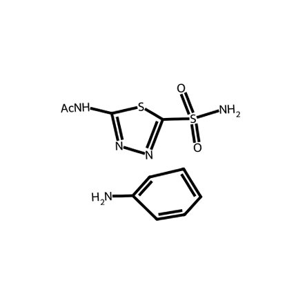 CC(=O)Nc1nnc(S(N)(=O)=O)s1.Nc1ccccc1